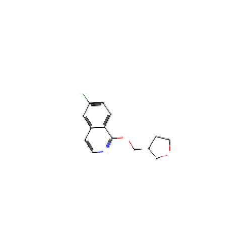 Brc1ccc2c(OC[C@H]3CCOC3)nccc2c1